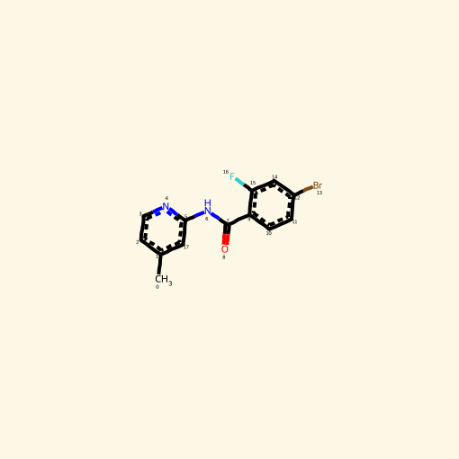 Cc1ccnc(NC(=O)c2ccc(Br)cc2F)c1